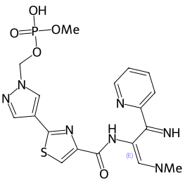 CN/C=C(/NC(=O)c1csc(-c2cnn(COP(=O)(O)OC)c2)n1)C(=N)c1ccccn1